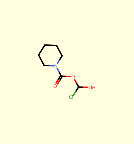 O=C(OC(O)Cl)N1CCCCC1